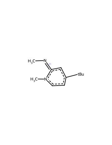 C/N=c1/cc(C(C)(C)C)ccn1C